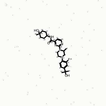 CC1CN(c2ccc(C(C)(C)O)cc2F)CCN1c1nccc(C(=O)NC2CCC(C)(O)CC2)n1